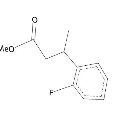 COC(=O)CC(C)c1ccccc1F